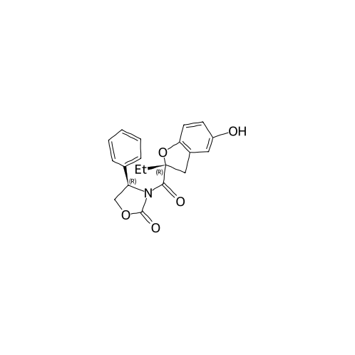 CC[C@]1(C(=O)N2C(=O)OC[C@H]2c2ccccc2)Cc2cc(O)ccc2O1